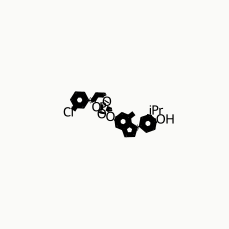 Cc1cc(OCP2(=O)OCC[C@@H](c3cccc(Cl)c3)O2)cc2c1[C@H](c1ccc(O)c(C(C)C)c1)CC2